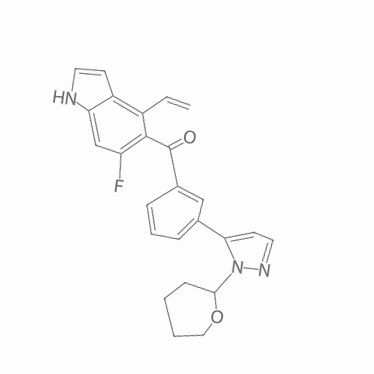 C=Cc1c(C(=O)c2cccc(-c3ccnn3C3CCCCO3)c2)c(F)cc2[nH]ccc12